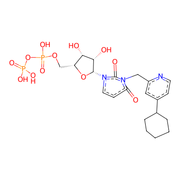 O=c1ccn([C@@H]2O[C@H](COP(=O)(O)OP(=O)(O)O)[C@H](O)[C@@H]2O)c(=O)n1Cc1cc(C2CCCCC2)ccn1